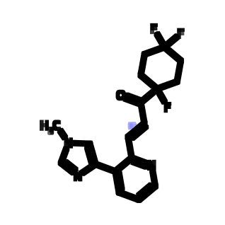 Cn1cnc(-c2cccnc2/C=C/C(=O)C2(F)CCC(F)(F)CC2)c1